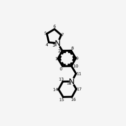 c1cc(N2CCCC2)ccc1CN1CCCCC1